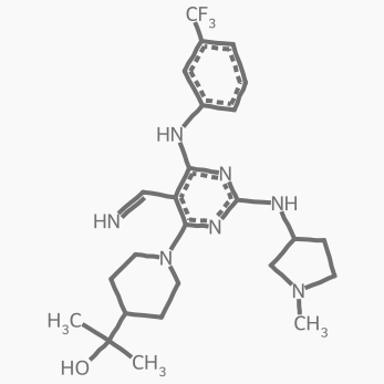 CN1CCC(Nc2nc(Nc3cccc(C(F)(F)F)c3)c(C=N)c(N3CCC(C(C)(C)O)CC3)n2)C1